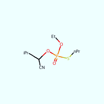 CCCSP(=O)(OCC)OC(C#N)C(C)C